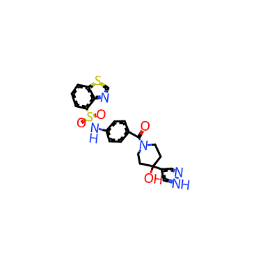 O=C(c1ccc(NS(=O)(=O)c2cccc3scnc23)cc1)N1CCC(O)(c2cn[nH]c2)CC1